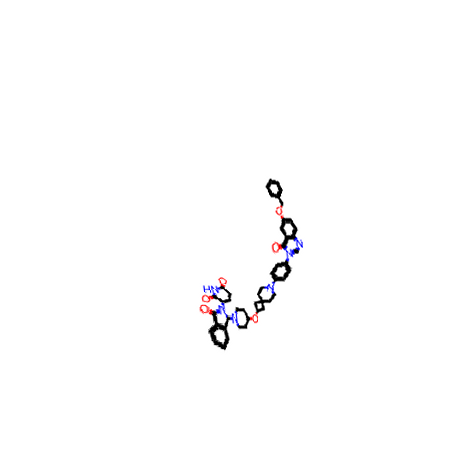 O=C1CCC(N2C(=O)c3ccccc3C2N2CCC(OC3CC4(CCN(c5ccc(-n6cnc7ccc(OCc8ccccc8)cc7c6=O)cc5)CC4)C3)CC2)C(=O)N1